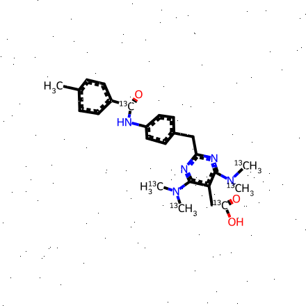 Cc1ccc([13C](=O)Nc2ccc(Cc3nc(N([13CH3])[13CH3])c(C[13C](=O)O)c(N([13CH3])[13CH3])n3)cc2)cc1